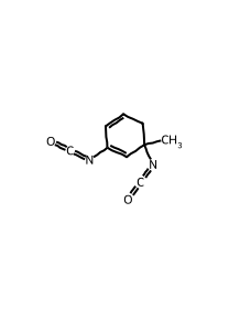 CC1(N=C=O)C=C(N=C=O)C=CC1